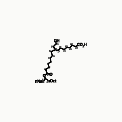 CCCCCCCCCC(CCCCCCCC)OC(=O)CCCCCCCN(CCO)CCCCCCCC(=O)O